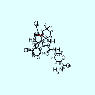 CC1(C)CCC2(CC1)N[C@@H](C(=O)N[C@@H]1CC[C@@H](C(N)=O)OC1)[C@H](c1ccnc(Cl)c1F)[C@]21C(=O)Nc2nc(Cl)ccc21